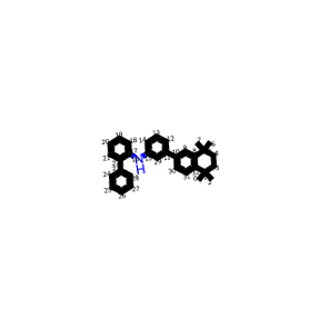 CC1(C)CCC(C)(C)c2cc(-c3cccc(Nc4ccccc4-c4ccccc4)c3)ccc21